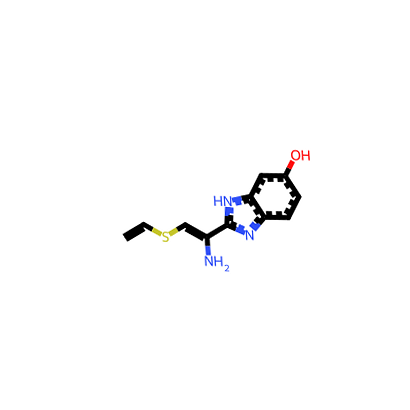 C=CS/C=C(\N)c1nc2ccc(O)cc2[nH]1